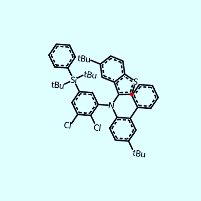 CC(C)(C)c1ccc(N(c2cc([Si](c3ccccc3)(C(C)(C)C)C(C)(C)C)cc(Cl)c2Cl)c2csc3ccc(C(C)(C)C)cc23)c(-c2ccccc2)c1